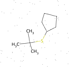 CC(C)(C)SC1CCCC1